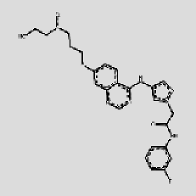 CCN(CCO)CCCOc1ccc2c(Nc3cnn(CC(=O)Nc4cccc(F)c4)c3)ncnc2c1